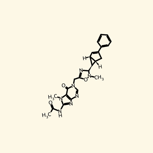 CC(=O)Nc1nc2ncn(CC3=NC([C@H]4[C@@H]5C=C(c6ccccc6)C[C@@H]54)N(C)O3)c(=O)c2n1C